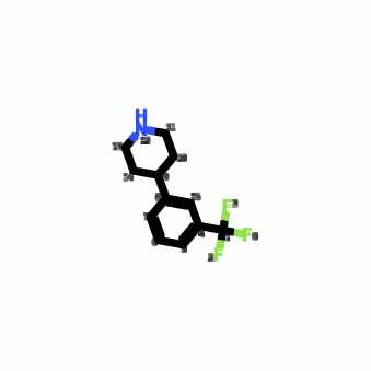 FC(F)(F)c1cccc([C]2CCNCC2)c1